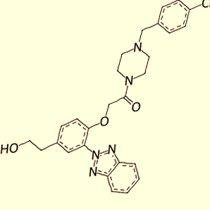 O=C(COc1ccc(CCO)cc1-n1nc2ccccc2n1)N1CCN(Cc2ccc(Cl)cc2)CC1